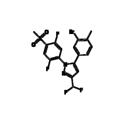 Cc1ccc(-c2cc(C(F)F)nn2-c2cc(F)c(S(C)(=O)=O)cc2F)cc1Br